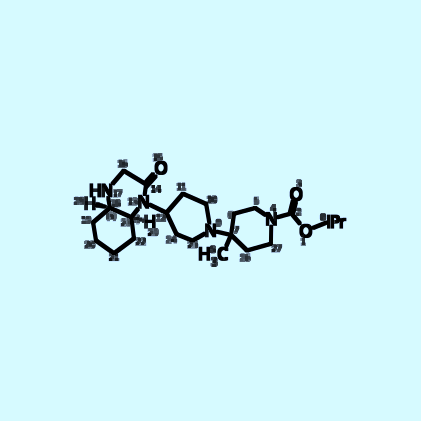 CC(C)OC(=O)N1CCC(C)(N2CCC(N3C(=O)CN[C@H]4CCCC[C@@H]43)CC2)CC1